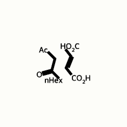 CCCCCCC(=O)CC(C)=O.O=C(O)C=CC(=O)O